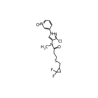 CN(C(=O)CCSCC1CC1(F)F)c1cn(-c2ccc[n+]([O-])c2)nc1Cl